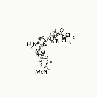 CNCc1ccc(-c2nnc(-c3nc(N4C[C@@H]5C(C(=O)N(C)C)[C@@H]5C4)cnc3N)o2)cc1